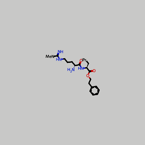 CNC(=N)NCCC[C@@H](N)C(=O)N[C@@H](CC(C)C)C(=O)OCCc1ccccc1